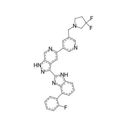 Fc1ccccc1-c1cccc2[nH]c(-c3n[nH]c4cnc(-c5cncc(CN6CCC(F)(F)C6)c5)cc34)nc12